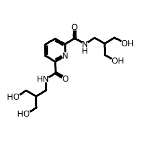 O=C(NCC(CO)CO)c1cccc(C(=O)NCC(CO)CO)n1